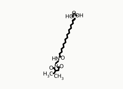 CC(C)C1CC(=O)N(CCNC(=O)CCCCCCCCCCCCCC/C=C/P(=O)(O)O)C1=O